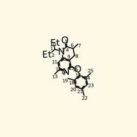 CCC(CC)N1C(=O)C(C)Cc2c1cc(C)nc2Oc1c(C)cc(C)cc1C